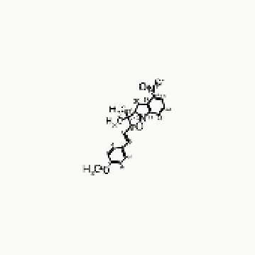 COc1ccc(C=CC2ON3c4cccc([N+](=O)[O-])c4CC3C2(C)C)cc1